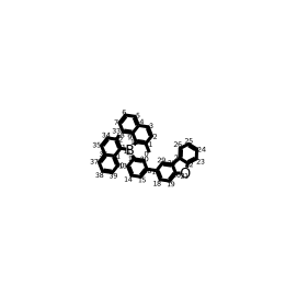 Cc1ccc2ccccc2c1B(c1cccc(-c2ccc3oc4ccccc4c3c2)c1)c1c(C)ccc2ccccc12